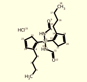 CCCCC1=[C]([Zr]([NH]C=O)([NH]C=O)[C]2=C(CCCC)C=CC2)CC=C1.Cl